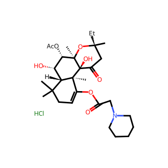 CC[C@@]1(C)CC(=O)[C@]2(O)[C@@]3(C)C(OC(=O)CN4CCCCC4)=CCC(C)(C)[C@@H]3[C@H](O)[C@H](OC(C)=O)[C@@]2(C)O1.Cl